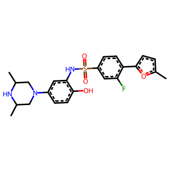 Cc1ccc(-c2ccc(S(=O)(=O)Nc3cc(N4CC(C)NC(C)C4)ccc3O)cc2F)o1